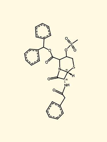 CS(=O)(=O)OC1CS[C@@H]2[C@H](NC(=O)Cc3ccccc3)C(=O)N2C1C(=O)OC(c1ccccc1)c1ccccc1